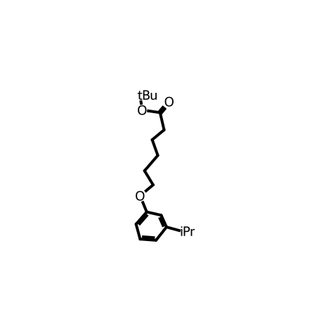 CC(C)c1cccc(OCCCCCC(=O)OC(C)(C)C)c1